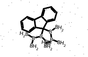 BBB(B(B)B)C1(B(B)B(B)B)c2ccccc2-c2ccccc21